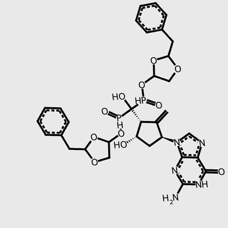 C=C1[C@@H](C(O)([PH](=O)OC2COC(Cc3ccccc3)O2)[PH](=O)OC2COC(Cc3ccccc3)O2)[C@@H](O)C[C@@H]1n1cnc2c(=O)[nH]c(N)nc21